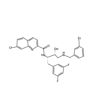 CCc1cccc(CNC[C@@H](O)[C@H](Cc2cc(F)cc(F)c2)NC(=O)c2ccc3ccc(Cl)cc3n2)c1